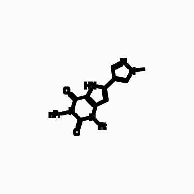 CCCn1c(=O)c2[nH]c(-c3cnn(C)c3)cc2n(CC)c1=O